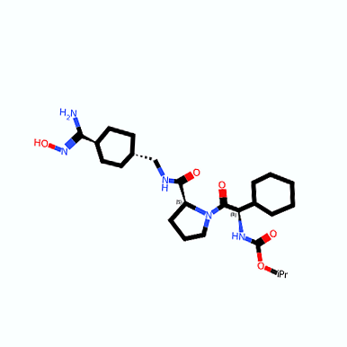 CC(C)OC(=O)N[C@@H](C(=O)N1CCC[C@H]1C(=O)NC[C@H]1CC[C@H](C(N)=NO)CC1)C1CCCCC1